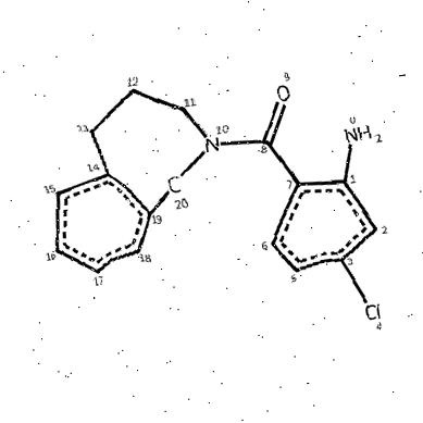 Nc1cc(Cl)ccc1C(=O)N1CCCc2ccccc2C1